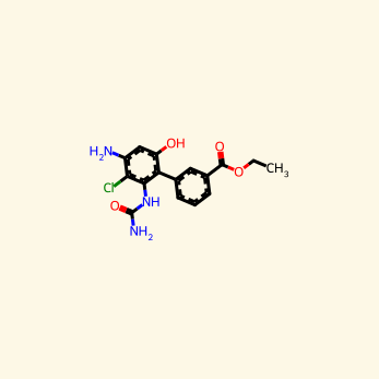 CCOC(=O)c1cccc(-c2c(O)cc(N)c(Cl)c2NC(N)=O)c1